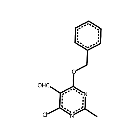 Cc1nc(Cl)c(C=O)c(OCc2ccccc2)n1